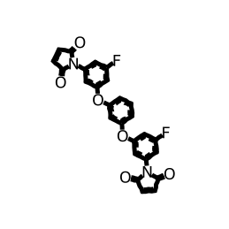 O=C1C=CC(=O)N1c1cc(F)cc(Oc2cccc(Oc3cc(F)cc(N4C(=O)C=CC4=O)c3)c2)c1